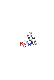 CCOC(=O)CN1N=C(C)[C@](C)(CC)C1C(C)C(C)C